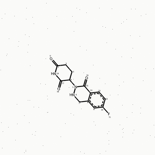 O=C1CCC(N2NCc3cc(F)ccc3C2=O)C(=O)N1